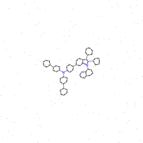 c1ccc(-c2ccc(N(c3ccc(-c4ccccc4)cc3)c3ccc(-c4ccc5c(-c6ccccc6)c(-c6ccccc6)n(-c6cccc7ccccc67)c5c4)cc3)cc2)cc1